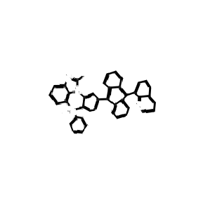 CCc1nc2cccc3c2n1-c1cc(-c2c4ccccc4c(-c4cccc5cccnc45)c4ccccc24)ccc1P3(=O)c1ccccc1